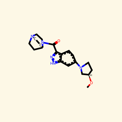 CO[C@@H]1CCN(c2ccc3c(C(=O)N4CCN5CCC4CC5)n[nH]c3c2)C1